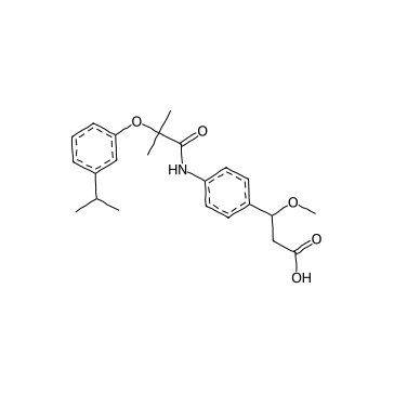 COC(CC(=O)O)c1ccc(NC(=O)C(C)(C)Oc2cccc(C(C)C)c2)cc1